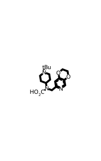 CC(C)(C)N1CCC(N(Cc2cc3c(cn2)OCCO3)C(=O)O)CC1